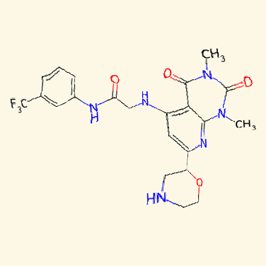 Cn1c(=O)c2c(NCC(=O)Nc3cccc(C(F)(F)F)c3)cc(C3CNCCO3)nc2n(C)c1=O